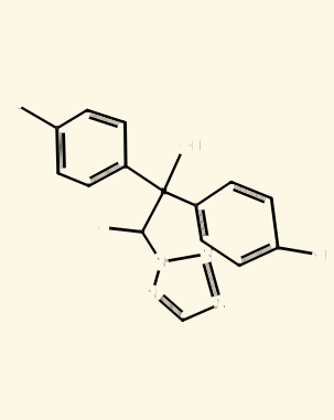 CC(n1ncnn1)C(O)(c1ccc(Cl)cc1)c1ccc(Cl)cc1